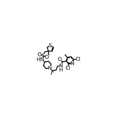 Cc1cc(Cl)nc(Cl)c1C(=O)NCC[C@@H](C)N1CCC(NS(=O)(=O)CC2(C)C=CSC2)CC1